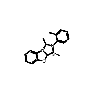 Cc1ccccc1N1C(C)N2c3ccccc3OC2[C@@H]1C